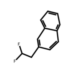 FC(F)Cc1ccc2ccccc2c1